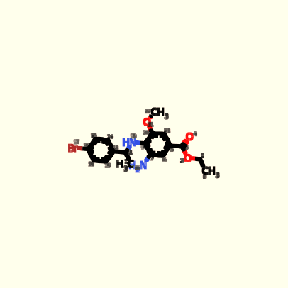 CCOC(=O)c1cc(N)c(NC(C)c2ccc(Br)cc2)c(OC)c1